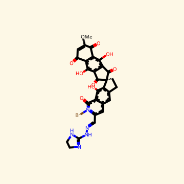 COC1=CC(=O)c2c(O)c3c(c(O)c2C1=O)C(=O)[C@]1(CCc2cc4cc(C=NNC5=NCCN5)n(Br)c(=O)c4c(O)c21)C3=O